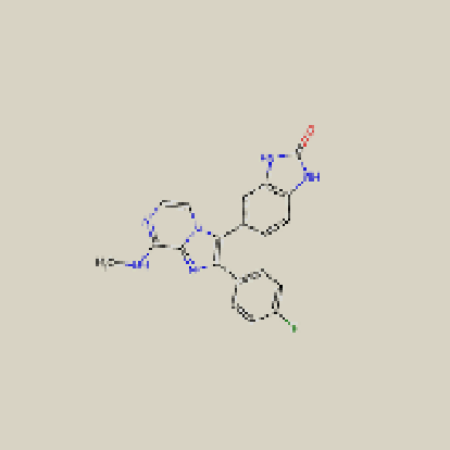 CNc1nccn2c(-c3ccc4[nH]c(=O)[nH]c4c3)c(-c3ccc(F)cc3)nc12